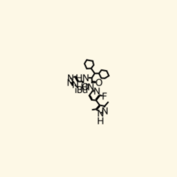 CCC(C)n1nncc1C(=O)NC(C(=O)Nc1ccc(-c2c(C)n[nH]c2C)c(F)n1)C(C1CCCCC1)C1CCCCC1